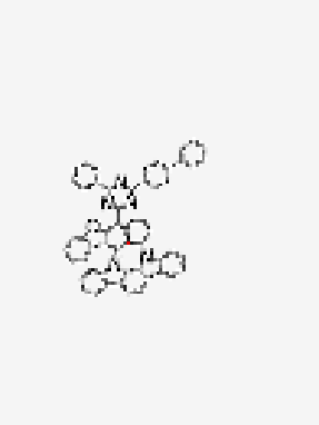 c1ccc(-c2ccc(-c3nc(-c4ccccc4)nc(-c4ccc(-n5c6ccccc6c6ccc7c8ccccc8n(-c8ccccc8)c7c65)c5c4oc4ccccc45)n3)cc2)cc1